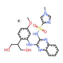 COc1ccc(C(CO)CO)c(Nc2nc3ccccc3nc2NS(=O)(=O)c2cn(C)cn2)c1.[K]